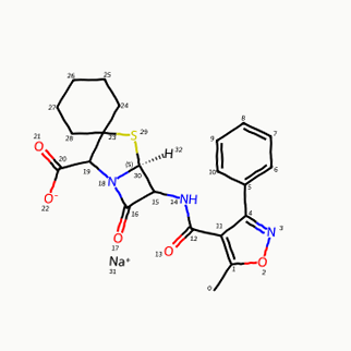 Cc1onc(-c2ccccc2)c1C(=O)NC1C(=O)N2C(C(=O)[O-])C3(CCCCC3)S[C@@H]12.[Na+]